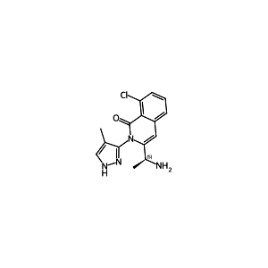 Cc1c[nH]nc1-n1c([C@H](C)N)cc2cccc(Cl)c2c1=O